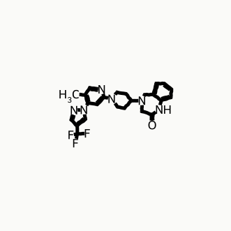 Cc1cnc(N2CCC(N3CC(=O)Nc4ccccc4C3)CC2)cc1-n1cc(C(F)(F)F)cn1